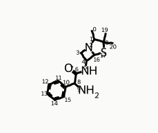 CC1N2CC(NC(=O)C(N)c3ccccc3)C2SC1(C)C